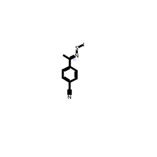 C/C(=N\SI)c1ccc(C#N)cc1